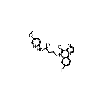 COc1ccc(NC(=O)CCCn2c(=O)c3nccn3c3ccc(F)cc32)nc1